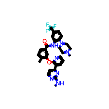 CNc1nccc(-c2cccnc2Oc2cc(C(=O)Nc3cc(C(F)(F)F)ccc3N3CCN(C)CC3)ccc2C)n1